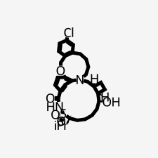 CC(C)[C@@H]1CCCC[C@H](O)[C@@H]2CC[C@H]2CN2CCCCc3cc(Cl)ccc3COc3ccc(cc32)C(=O)NS1(=O)=O